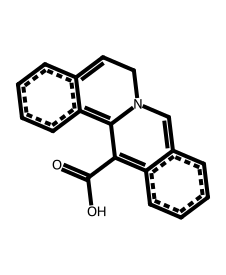 O=C(O)C1=c2ccccc2=CN2CC=c3ccccc3=C12